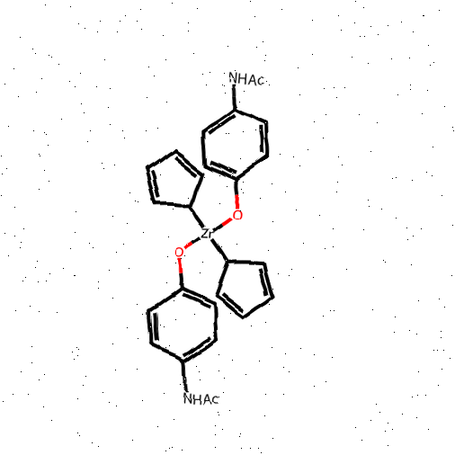 CC(=O)Nc1ccc([O][Zr]([O]c2ccc(NC(C)=O)cc2)([CH]2C=CC=C2)[CH]2C=CC=C2)cc1